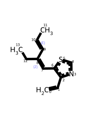 C=Cc1ncsc1/C=C(\C=C\C)CC